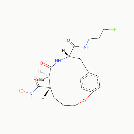 CCCC[C@H]1C(=O)N[C@H](C(=O)NCCCF)Cc2ccc(cc2)OCCC[C@@H]1C(=O)NO